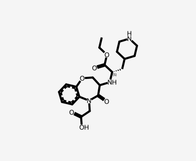 CCOC(=O)[C@H](CC1CCNCC1)NC1COc2ccccc2N(CC(=O)O)C1=O